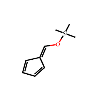 C[Si](C)(C)OC=C1C=CC=C1